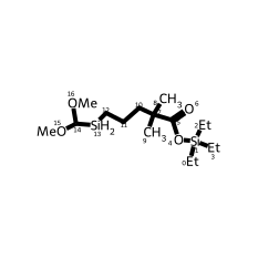 CC[Si](CC)(CC)OC(=O)C(C)(C)CCC[SiH2]C(OC)OC